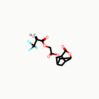 C=C(C(=O)OCC(=O)OC1C2CC3C(=O)OC1C3C2)C(F)(F)F